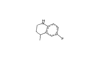 CC1CCNc2ccc(F)cc21